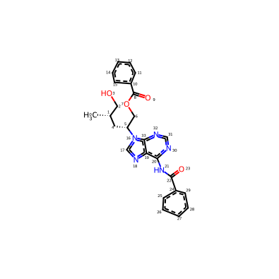 C[C@H](CO)C[C@H](COC(=O)c1ccccc1)n1cnc2c(NC(=O)c3ccccc3)ncnc21